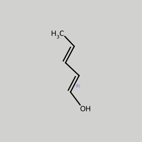 CC=C/C=C/O